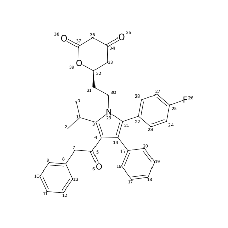 CC(C)c1c(C(=O)Cc2ccccc2)c(-c2ccccc2)c(-c2ccc(F)cc2)n1CC[C@@H]1CC(=O)CC(=O)O1